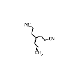 C=CC=C(CCC#N)CCC#N